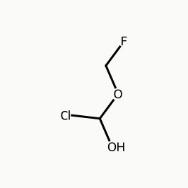 OC(Cl)OCF